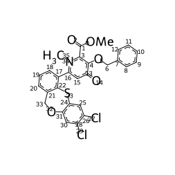 COC(=O)c1c(OCc2ccccc2)c(=O)cc(-c2cccc3c2Sc2cc(Cl)c(Cl)cc2OC3)n1C